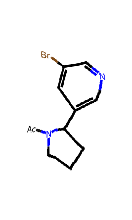 CC(=O)N1CCCC1c1cncc(Br)c1